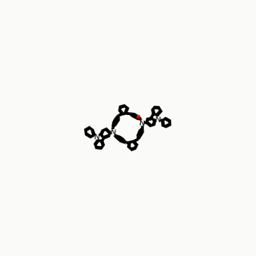 c1ccc(-n2c3ccccc3c3cc(N4c5ccc(cc5)-c5ccccc5-c5ccc(cc5)N(c5ccc6c(c5)c5ccccc5n6-c5ccccc5)c5ccc(cc5)-c5ccccc5-c5ccc4cc5)ccc32)cc1